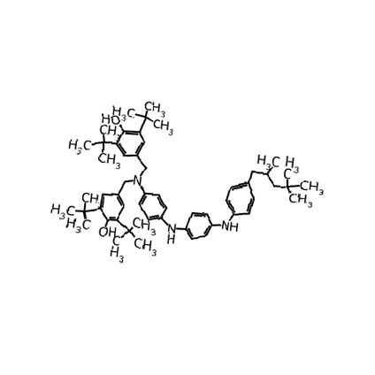 CC(Cc1ccc(Nc2ccc(Nc3ccc(N(Cc4cc(C(C)(C)C)c(O)c(C(C)(C)C)c4)Cc4cc(C(C)(C)C)c(O)c(C(C)(C)C)c4)cc3)cc2)cc1)CC(C)(C)C